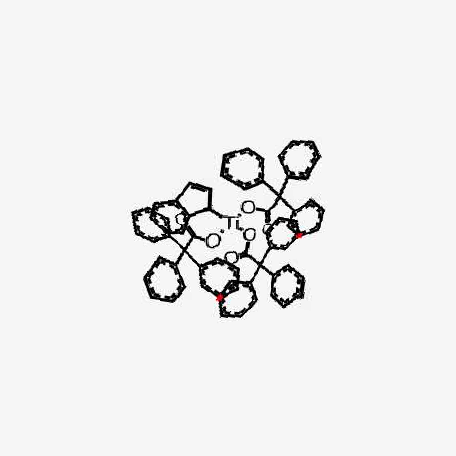 O=C([O][Ti]([O]C(=O)C(c1ccccc1)(c1ccccc1)c1ccccc1)([O]C(=O)C(c1ccccc1)(c1ccccc1)c1ccccc1)[CH]1C=Cc2ccccc21)C(c1ccccc1)(c1ccccc1)c1ccccc1